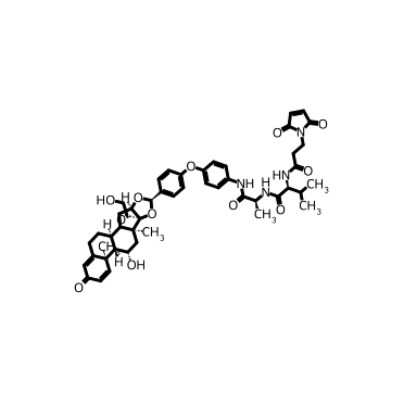 CC(C)[C@H](NC(=O)CCN1C(=O)C=CC1=O)C(=O)N[C@@H](C)C(=O)Nc1ccc(Oc2ccc([C@@H]3O[C@@H]4CC5[C@@H]6CCC7=CC(=O)C=C[C@]7(C)[C@H]6[C@@H](O)C[C@]5(C)[C@]4(C(=O)CO)O3)cc2)cc1